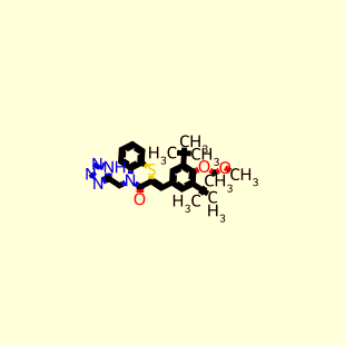 COCOc1c(C(C)(C)C)cc(C=C2Sc3ccccc3N(Cc3nnn[nH]3)C2=O)cc1C(C)(C)C